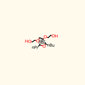 CCCCC(CCC)OC(CCC)CCCC.OCCOCCOCCO